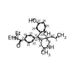 C=CC[C@@]1(C)CN[C@H](C)CN1[C@H](c1ccc(C(=O)N(CC)CC)cc1)c1cccc(O)c1